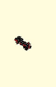 Cc1cc(N(c2ccc3ccc4c(N(c5cc(C)c(C)c(C)c5)c5cccc6c5oc5c(C7CCCCC7)cccc56)ccc5ccc2c3c54)c2cccc3c2oc2c(C4CCCCC4)cccc23)cc(C)c1C